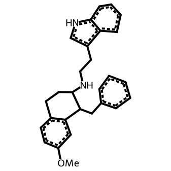 COc1ccc2c(c1)C(Cc1ccccc1)C(NCCc1c[nH]c3ccccc13)CC2